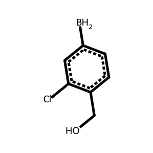 Bc1ccc(CO)c(Cl)c1